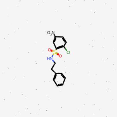 O=[N+]([O-])c1ccc(Cl)c(S(=O)(=O)NCCc2ccccc2)c1